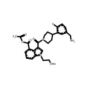 COCCn1cc(C(=O)N2CCC(c3cc(CN)ccc3F)CC2)c2c(C(=O)OC(=O)C(F)(F)F)cccc21